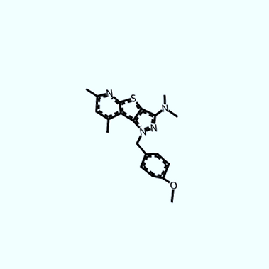 COc1ccc(Cn2nc(N(C)C)c3sc4nc(C)cc(C)c4c32)cc1